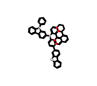 c1ccc(-n2c3ccccc3c3ccc(N(c4ccc(-c5ccc6c(c5)oc5ccccc56)cc4)c4ccccc4-c4cccc5cccc(C6CCCCC6)c45)cc32)cc1